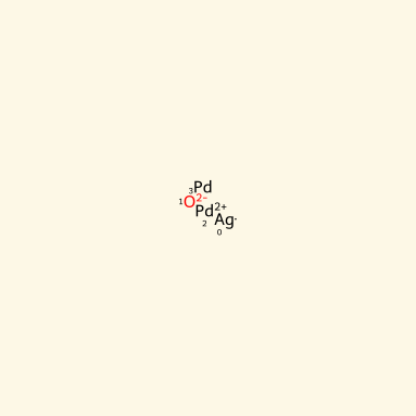 [Ag].[O-2].[Pd+2].[Pd]